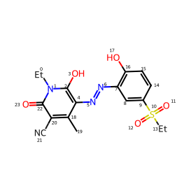 CCn1c(O)c(/N=N/c2cc(S(=O)(=O)CC)ccc2O)c(C)c(C#N)c1=O